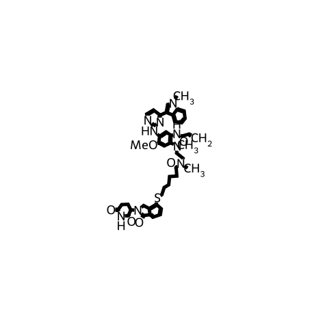 C=CC(=O)Nc1cc(Nc2nccc(-c3cn(C)c4ccccc34)n2)c(OC)cc1N(C)CCN(C)C(=O)CCCCCSc1cccc2c1CN(C1CCC(=O)NC1=O)C2=O